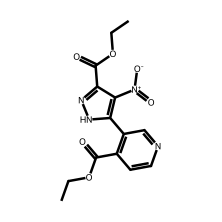 CCOC(=O)c1ccncc1-c1[nH]nc(C(=O)OCC)c1[N+](=O)[O-]